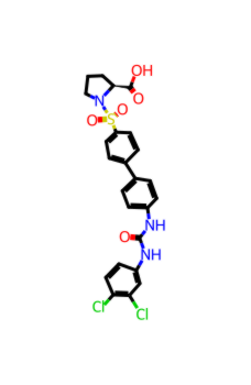 O=C(Nc1ccc(-c2ccc(S(=O)(=O)N3CCC[C@H]3C(=O)O)cc2)cc1)Nc1ccc(Cl)c(Cl)c1